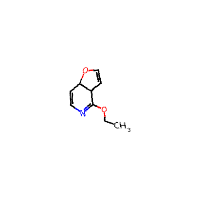 CCOC1=NC=CC2OC=CC12